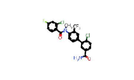 CN(C(=O)c1ccc(F)cc1Cl)c1ccc(-c2cc(C(N)=O)ccc2Cl)cc1C(F)(F)F